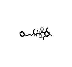 CC/C(CCCc1ccccc1)=N\N(C)C(=O)C(=O)c1c(CC)cc(C)cc1CC